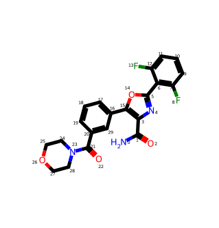 NC(=O)c1nc(-c2c(F)cccc2F)oc1-c1cccc(C(=O)N2CCOCC2)c1